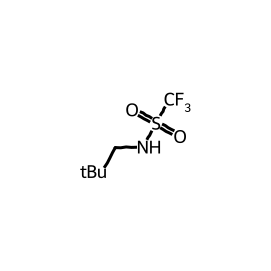 [CH2]C(C)(C)CNS(=O)(=O)C(F)(F)F